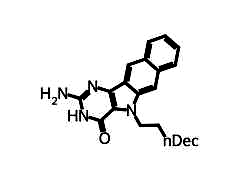 CCCCCCCCCCCCn1c2cc3ccccc3cc2c2nc(N)[nH]c(=O)c21